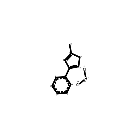 CC1=CC(c2ccccc2)=C[CH]1.[Cl][Hf][Cl]